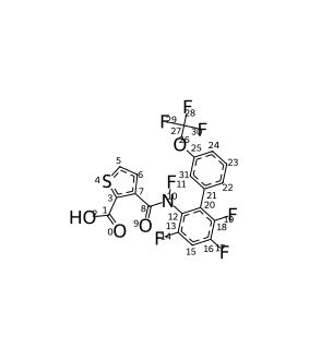 O=C(O)c1sccc1C(=O)N(F)c1c(F)cc(F)c(F)c1-c1cccc(OC(F)(F)F)c1